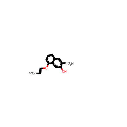 CCCCCCCCC/C=C/Oc1cccc2cc(C(=O)O)c(O)cc12